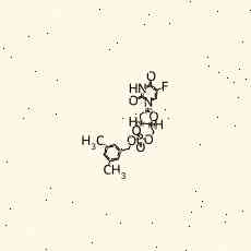 Cc1cc(C)cc(COP2(=O)OC[C@H]3O[C@@H](n4cc(F)c(=O)[nH]c4=O)C[C@@H]3O2)c1